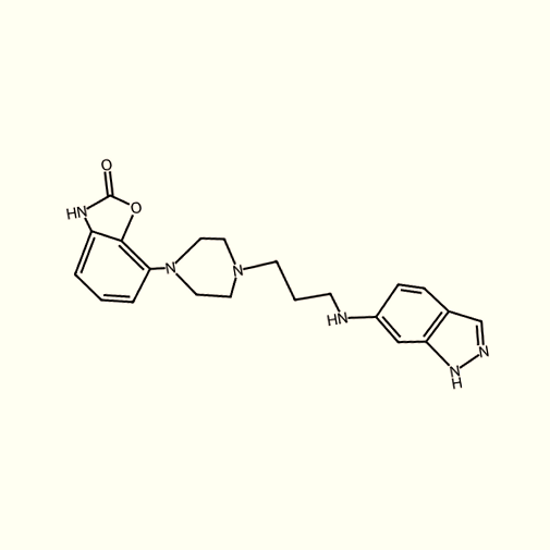 O=c1[nH]c2cccc(N3CCN(CCCNc4ccc5cn[nH]c5c4)CC3)c2o1